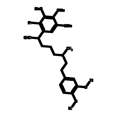 CCOc1ccc(CCN(C)CCCC(C=O)c2cc(OC)c(OC)c(OC)c2C(C)C)cc1OCC